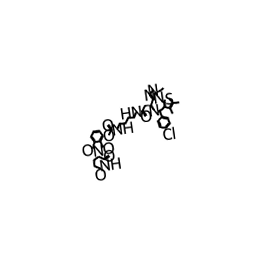 Cc1sc2c(c1C)C(c1ccc(Cl)cc1)=N[C@@H](CC(=O)NCCCCNC(=O)Oc1cccc3c1C(=O)N(C1CCC(=O)NC1=O)C3=O)c1nnc(C)n1-2